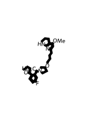 COc1cc(CCCCO[C@@H]2CCN(C(C(=O)O)c3cc(F)ccc3C3CCCO3)C2)nc2c1CCCN2